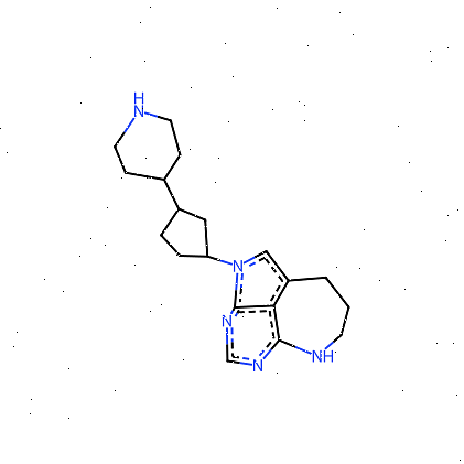 c1nc2c3c(cn(C4CCC(C5CCNCC5)C4)c3n1)CCCN2